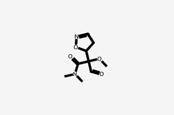 COC(C=O)(C(=O)N(C)C)C1C[C]=NO1